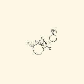 C[C@@H]1CCCCCC2C(=O)N([C@H]3CCCN(P)C3)C(=O)[C@@]2(C)C1